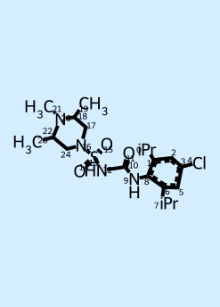 CC(C)c1cc(Cl)cc(C(C)C)c1NC(=O)NS(=O)(=O)N1CC(C)N(C)C(C)C1